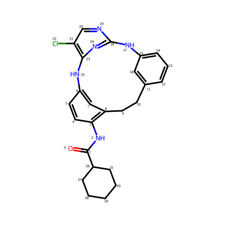 O=C(Nc1ccc2cc1CCc1cccc(c1)Nc1ncc(Cl)c(n1)N2)C1CCCCC1